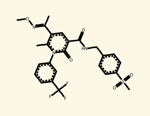 CON=C(C)c1cc(C(=O)NCc2ccc(S(C)(=O)=O)cc2)c(=O)n(-c2cccc(C(F)(F)F)c2)c1C